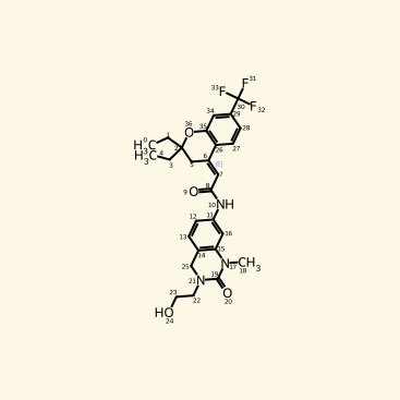 CCC1(CC)C/C(=C\C(=O)Nc2ccc3c(c2)N(C)C(=O)N(CCO)C3)c2ccc(C(F)(F)F)cc2O1